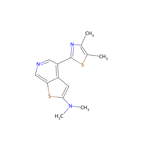 Cc1nc(-c2cncc3sc(N(C)C)cc23)sc1C